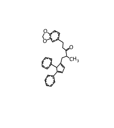 CC(CC1=CC=C(c2ccccc2)C1c1ccccc1)C(=O)CCc1ccc2c(c1)OCO2